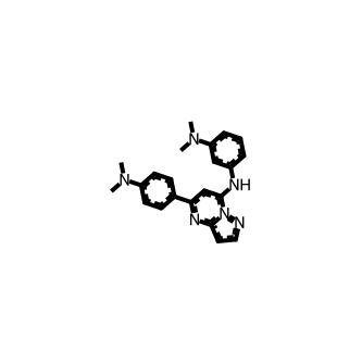 CN(C)c1ccc(-c2cc(Nc3cccc(N(C)C)c3)n3nccc3n2)cc1